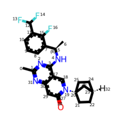 Cc1nc(N[C@H](C)c2cccc(C(F)F)c2F)c2cn([C@]34CC[C@H](CC3)C4)c(=O)cc2n1